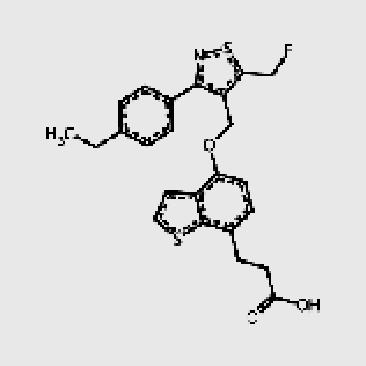 CCc1ccc(-c2nsc(CF)c2COc2ccc(CCC(=O)O)c3sccc23)cc1